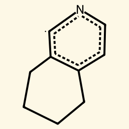 [c]1nccc2c1CCCC2